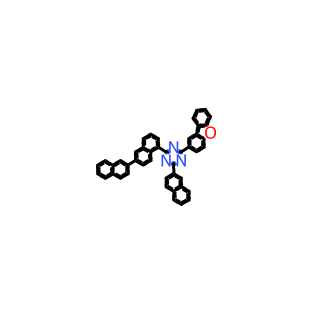 c1ccc2cc(-c3ccc4c(-c5nc(-c6ccc7ccccc7c6)nc(-c6ccc7oc8ccccc8c7c6)n5)cccc4c3)ccc2c1